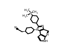 CS(C)(C)C1CCC(c2nc3cnc4[nH]ccc4c3n2[C@H]2CC[C@H](CC#N)CC2)CC1